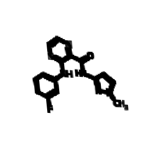 Cn1ccc(NC(=O)c2nccnc2Nc2cccc(F)c2)n1